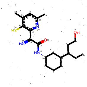 CCC(CCO)C1CCC[C@H](NC(=O)C(=N)c2nc(C)cc(C)c2S)C1